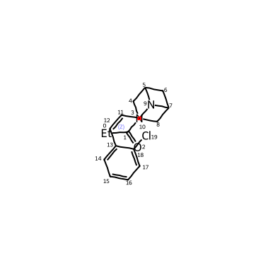 CCC(=O)N1CC2CC(C1)N2C/C=C\c1ccccc1Cl